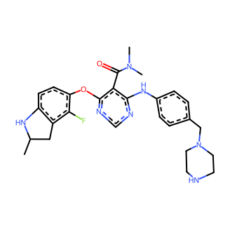 CC1Cc2c(ccc(Oc3ncnc(Nc4ccc(CN5CCNCC5)cc4)c3C(=O)N(C)C)c2F)N1